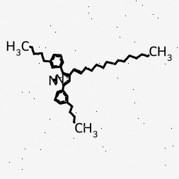 CCCCCCCCCCCCCC=CC1=C(c2cccc(CCCCC)c2)[N+](=[N-])C(c2cccc(CCCCC)c2)=C1